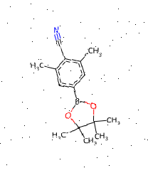 Cc1cc(B2OC(C)(C)C(C)(C)O2)cc(C)c1C#N